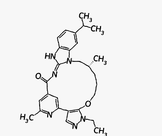 CCn1ncc2c1OCCC[C@@H](C)CN1/C(=N/C(=O)c3cc(C)nc-2c3)Nc2ccc(C(C)C)cc21